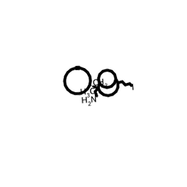 CC(C)([C@H]1CCCCC#CCCCCCCCCCCC1)C1(CCN)CCCCCCC(CCCI)C2CCCCCCC1CCCC2